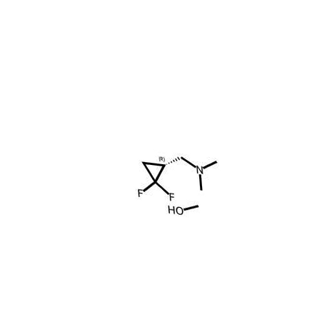 CN(C)C[C@H]1CC1(F)F.CO